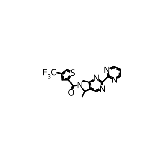 CC1c2cnc(-c3ncccn3)nc2CN1C(=O)c1cc(C(F)(F)F)cs1